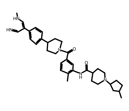 CN/C=C(\C=N)c1ccc(C2CCN(C(=O)c3ccc(C)c(NC(=O)C4CCN(C5CCC(C)C5)CC4)c3)CC2)cc1